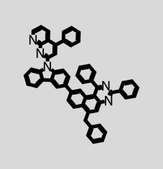 c1ccc(Cc2cc3nc(-c4ccccc4)nc(-c4ccccc4)c3c3cc(-c4ccc5c(c4)c4ccccc4n5-c4cc(-c5ccccc5)c5cccnc5n4)ccc23)cc1